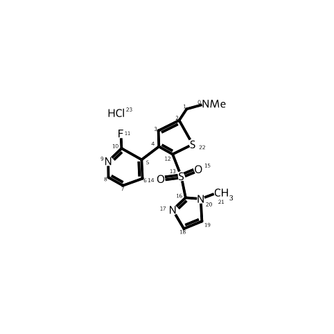 CNCc1cc(-c2cccnc2F)c(S(=O)(=O)c2nccn2C)s1.Cl